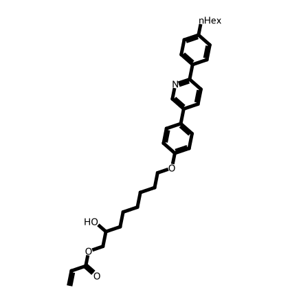 C=CC(=O)OCC(O)CCCCCCOc1ccc(-c2ccc(-c3ccc(CCCCCC)cc3)nc2)cc1